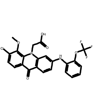 COc1c(Cl)ccc2c(=O)c3ccc(Nc4ccccc4OC(F)(F)F)cc3n(CC(=O)O)c12